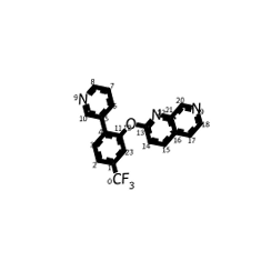 FC(F)(F)c1ccc(-c2cccnc2)c(Oc2ccc3ccncc3n2)c1